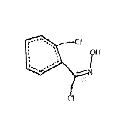 O/N=C(/Cl)c1ccccc1Cl